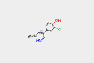 CN/C=C(\C=N)c1ccc(O)c(Cl)c1